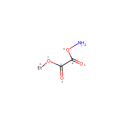 CCOC(=O)C(=O)ON